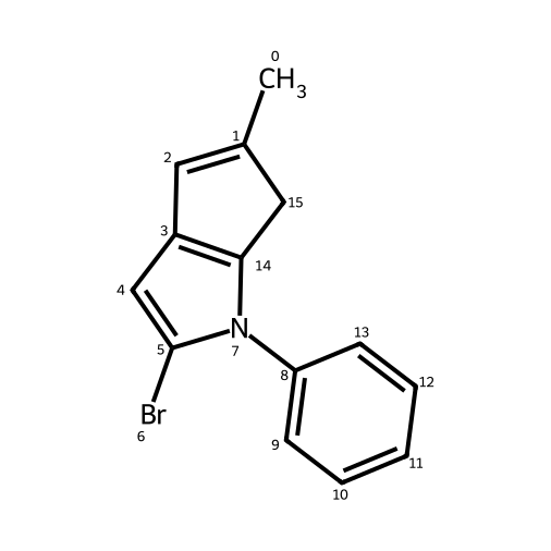 CC1=Cc2cc(Br)n(-c3ccccc3)c2C1